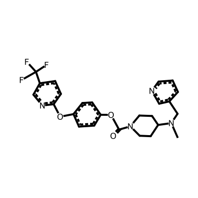 CN(Cc1cccnc1)C1CCN(C(=O)Oc2ccc(Oc3ccc(C(F)(F)F)cn3)cc2)CC1